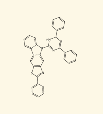 c1ccc(C2=NC(c3ccccc3)NC(n3c4ccccc4c4cc5sc(-c6ccccc6)nc5cc43)=N2)cc1